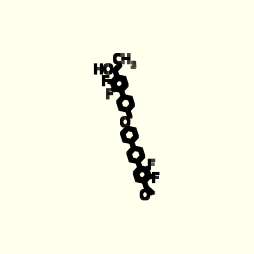 CCC(O)c1ccc(C2CCC(COC3CCC(C4CCC(c5ccc(C6CO6)c(F)c5F)CC4)CC3)CC2)c(F)c1F